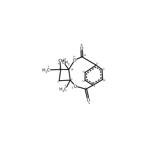 CC1(C)CC2(C)OC(=O)c3ccc(cc3)C(=O)OC12C